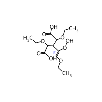 CCO/C=C(\OO)C(C(OCC)C(=O)O)C(OCC)C(=O)O